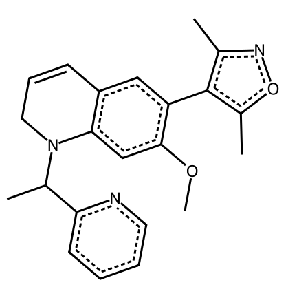 COc1cc2c(cc1-c1c(C)noc1C)C=CCN2C(C)c1ccccn1